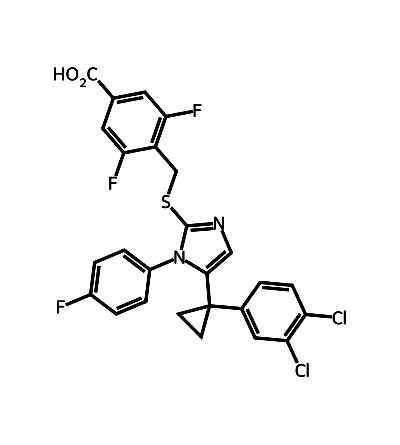 O=C(O)c1cc(F)c(CSc2ncc(C3(c4ccc(Cl)c(Cl)c4)CC3)n2-c2ccc(F)cc2)c(F)c1